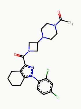 O=C(c1nn(-c2ccc(Cl)cc2Cl)c2c1CCCC2)N1CC(N2CCN(C(=O)C(F)(F)F)CC2)C1